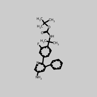 CC(C)(C)OC(=O)NC(C)(C)c1ccc(-c2ncc(N)cc2-c2ccccc2)cc1F